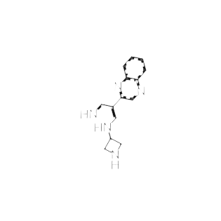 N=C/C(=C\NC1CNC1)c1cnc2ccccc2n1